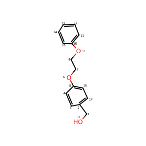 OCc1ccc(OCCOc2ccccc2)cc1